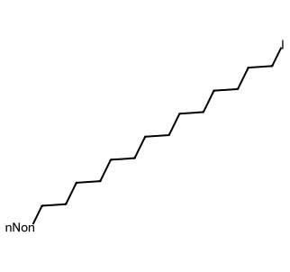 CCCCCCCCCCCCCCCCCCCCCCCI